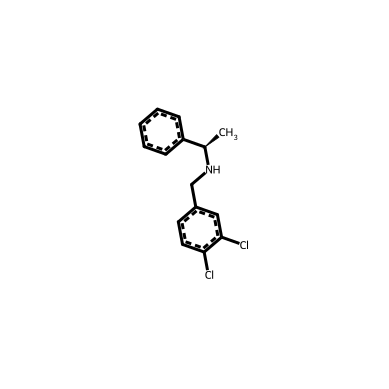 C[C@@H](NCc1ccc(Cl)c(Cl)c1)c1ccccc1